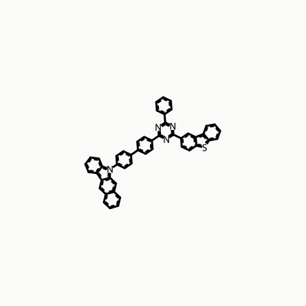 c1ccc(-c2nc(-c3ccc(-c4ccc(-n5c6ccccc6c6cc7ccccc7cc65)cc4)cc3)nc(-c3ccc4sc5ccccc5c4c3)n2)cc1